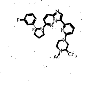 [CH2]C(=O)N1CCN(c2cccc(-c3cnc4ccc(N5CCC[C@@H]5c5cccc(F)c5)nn34)n2)CC1C(F)(F)F